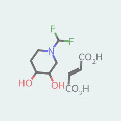 O=C(O)/C=C/C(=O)O.OC1CCN(C(F)F)CC1O